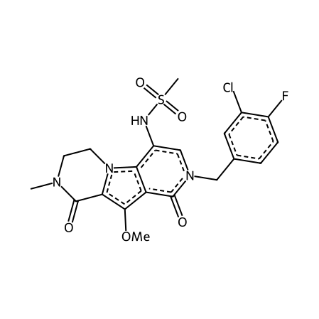 COc1c2n(c3c(NS(C)(=O)=O)cn(Cc4ccc(F)c(Cl)c4)c(=O)c13)CCN(C)C2=O